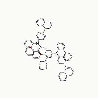 c1ccc(-c2ccccc2N(c2ccc(-c3cccc4ccccc34)cc2)c2cc(-c3ccccc3)c3cc(-c4ccccc4)c(N(c4ccc(-c5cccc6ccccc56)cc4)c4ccccc4-c4ccccc4)cc3c2)cc1